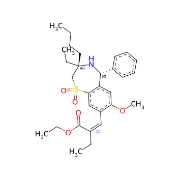 CCCC[C@]1(CC)CS(=O)(=O)c2cc(/C=C(/CC)C(=O)OCC)c(OC)cc2[C@@H](c2ccccc2)N1